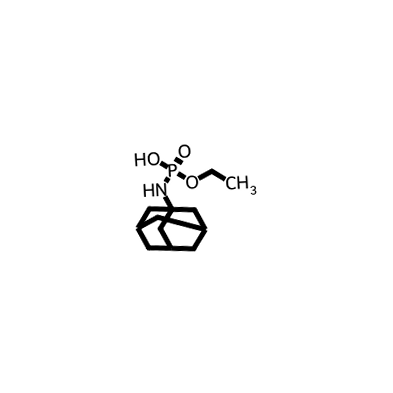 CCOP(=O)(O)NC12CC3CC(CC(C3)C1)C2